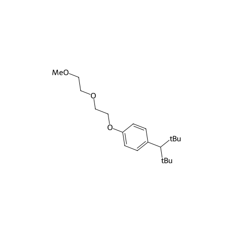 COCCOCCOc1ccc(C(C(C)(C)C)C(C)(C)C)cc1